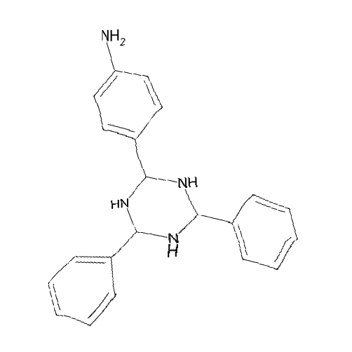 Nc1ccc(C2NC(c3ccccc3)NC(c3ccccc3)N2)cc1